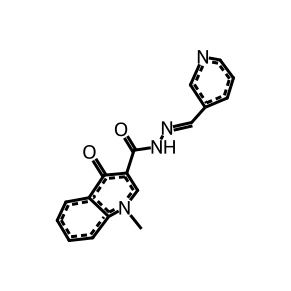 Cn1cc(C(=O)NN=Cc2cccnc2)c(=O)c2ccccc21